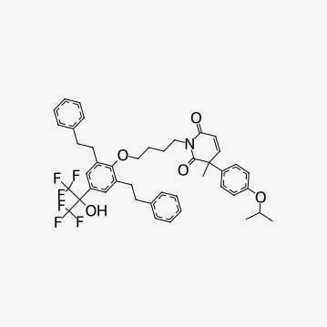 CC(C)Oc1ccc(C2(C)C=CC(=O)N(CCCCOc3c(CCc4ccccc4)cc(C(O)(C(F)(F)F)C(F)(F)F)cc3CCc3ccccc3)C2=O)cc1